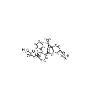 CS(=O)(=O)CC1CC2(c3ccccc3)NC1CCC2NCc1cc(OC(F)(F)F)ccc1OC1CC1